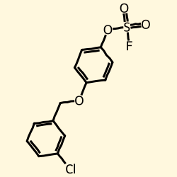 O=S(=O)(F)Oc1ccc(OCc2cccc(Cl)c2)cc1